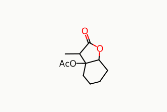 CC(=O)OC12CCCCC1OC(=O)C2C